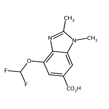 Cc1nc2c(OC(F)F)cc(C(=O)O)cc2n1C